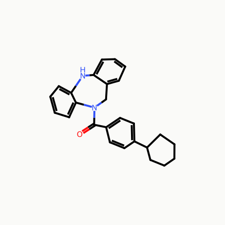 O=C(c1ccc(C2CCCCC2)cc1)N1Cc2ccccc2Nc2ccccc21